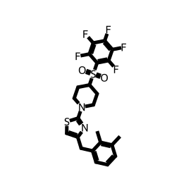 Cc1cccc(Cc2csc(N3CCC(S(=O)(=O)c4c(F)c(F)c(F)c(F)c4F)CC3)n2)c1C